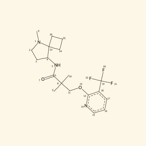 CN1CCC(NC(=O)C(C)(C)COc2ncccc2C(F)(F)F)C12CCC2